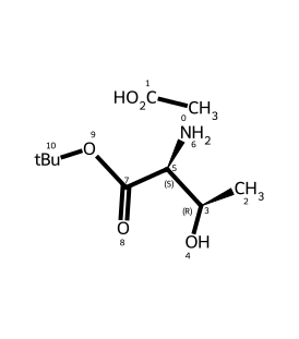 CC(=O)O.C[C@@H](O)[C@H](N)C(=O)OC(C)(C)C